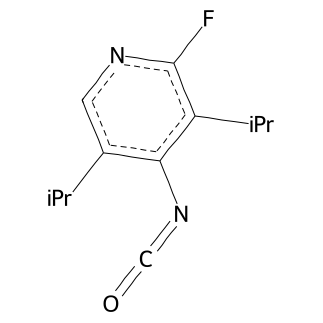 CC(C)c1cnc(F)c(C(C)C)c1N=C=O